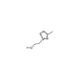 Cc1ccn(CCOI)n1